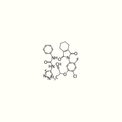 C#CC(C)Oc1cc(N2C(=O)C3=C(CCCC3)C2=O)c(F)cc1Cl.O=C(Nc1ccccc1)Nc1cnns1